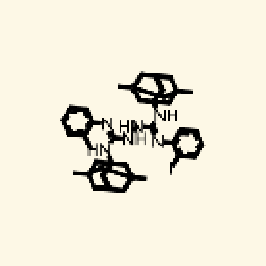 Cc1ccccc1N=C(NNC(=Nc1ccccc1I)NC12CC3CC(C)(CC(C)(C3)C1)C2)NC12CC3CC(C)(CC(C)(C3)C1)C2